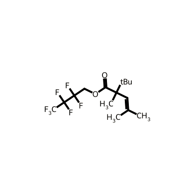 CC(C)=CC(C)(C(=O)OCC(F)(F)C(F)(F)C(F)(F)F)C(C)(C)C